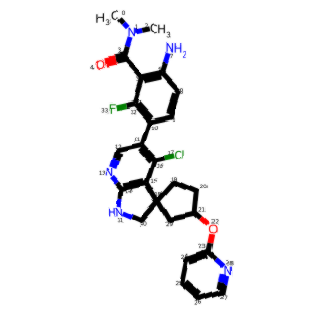 CN(C)C(=O)c1c(N)ccc(-c2cnc3c(c2Cl)C2(CCC(Oc4ccccn4)C2)CN3)c1F